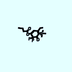 CCCC(=O)OC1=CC(CC)=C([Si](C)(C)C)C(=O)C1(F)F